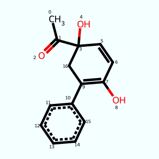 CC(=O)C1(O)C=CC(O)=C(c2ccccc2)C1